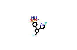 NS(=O)(=O)c1ccc(C2=C(c3ccc(F)nc3)CC(CF)C2)cc1